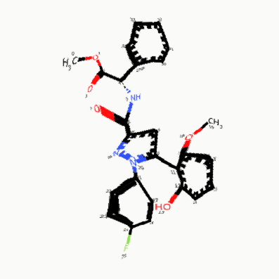 COC(=O)[C@@H](NC(=O)c1cc(-c2c(O)cccc2OC)n(C2=C=C=C(F)C=C2)n1)c1ccccc1